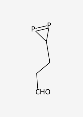 O=CCCC1P=P1